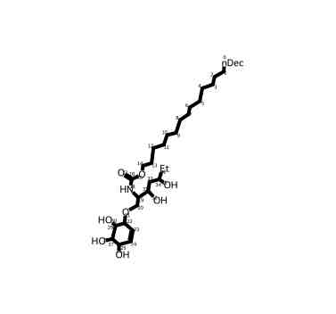 CCCCCCCCCCCCCCCCCCCCCCCCOC(=O)NC(COC1C=CC(O)C(O)C1O)C(O)CC(O)CC